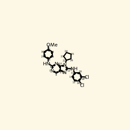 COc1ccc(Nc2ncc3nc(Nc4ccc(Cl)c(Cl)c4)n(C4CCCC4)c3n2)cc1